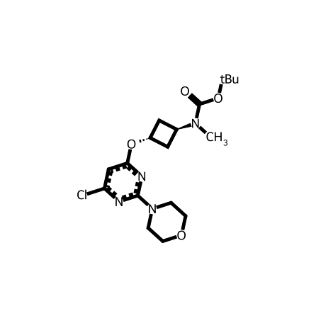 CN(C(=O)OC(C)(C)C)[C@H]1C[C@H](Oc2cc(Cl)nc(N3CCOCC3)n2)C1